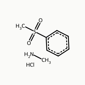 CN.CS(=O)(=O)c1ccccc1.Cl